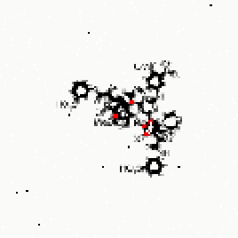 CCN(CC)c1cc(Nc2nc(Nc3cc(N(CC)CC)c(OC)cc3/N=N/c3nc(N4CCOCC4)c(C(C(C)=O)C(=O)Nc4cccc(S(=O)(=O)O)c4)s3)nc(N(CCO)CCO)n2)c(/N=N/c2nc(N3CCOCC3)c(/C=C(\C(C)=O)C(=O)Nc3cccc(S(=O)(=O)O)c3)s2)cc1OC